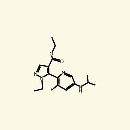 CCOC(=O)c1cnn(CC)c1-c1ncc(NC(C)C)cc1F